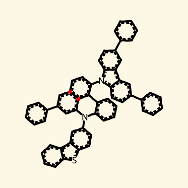 c1ccc(-c2cccc(N(c3ccc4sc5ccccc5c4c3)c3ccccc3-c3ccccc3-n3c4ccc(-c5ccccc5)cc4c4cc(-c5ccccc5)ccc43)c2)cc1